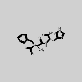 CC(C)C(=O)N(Cc1ccccc1)[C@@H](C)C(=O)N[C@@H](Cc1c[nH]cn1)C(N)=O